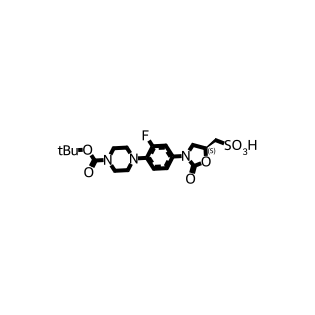 CC(C)(C)OC(=O)N1CCN(c2ccc(N3C[C@@H](CS(=O)(=O)O)OC3=O)cc2F)CC1